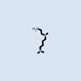 CN(C)CCCCN(C)CCN